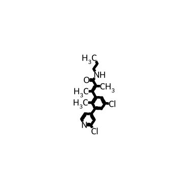 CCCNC(=O)/C(C)=C(\C)c1cc(Cl)cc(-c2ccnc(Cl)c2)c1C